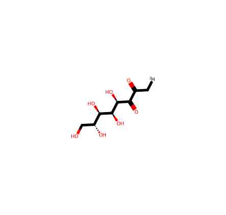 [2H]CC(=O)C(=O)[C@H](O)[C@@H](O)[C@H](O)[C@H](O)CO